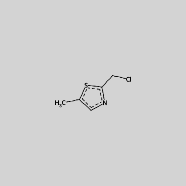 Cc1cnc(CCl)s1